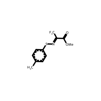 COC(=O)/C(=N/Sc1ccc(C)cc1)C(F)(F)F